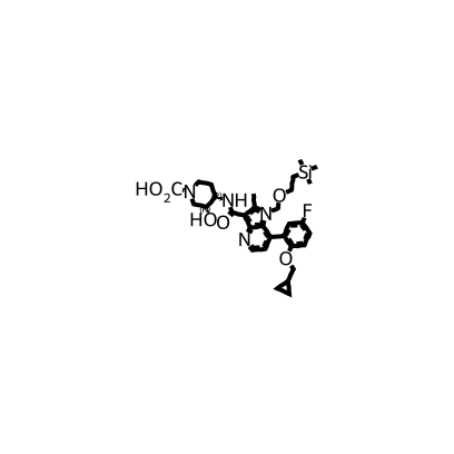 Cc1c(C(=O)N[C@@H]2CCN(C(=O)O)C[C@H]2O)c2nccc(-c3cc(F)ccc3OCC3CC3)c2n1COCC[Si](C)(C)C